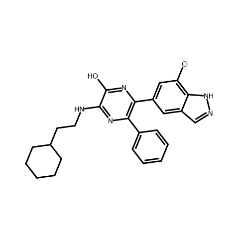 Oc1nc(-c2cc(Cl)c3[nH]ncc3c2)c(-c2ccccc2)nc1NCCC1CCCCC1